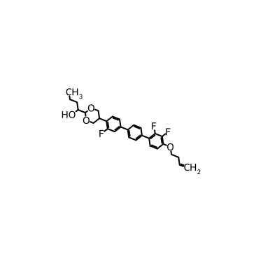 C=CCCOc1ccc(-c2ccc(-c3ccc(C4COC(C(O)CCC)OC4)c(F)c3)cc2)c(F)c1F